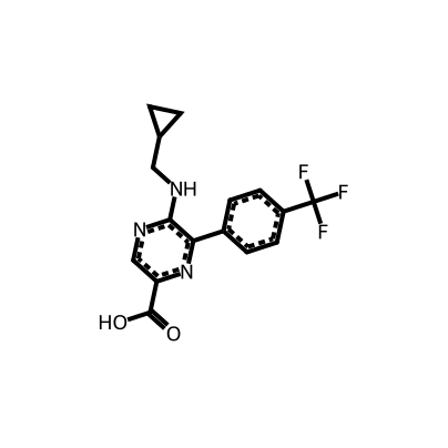 O=C(O)c1cnc(NCC2CC2)c(-c2ccc(C(F)(F)F)cc2)n1